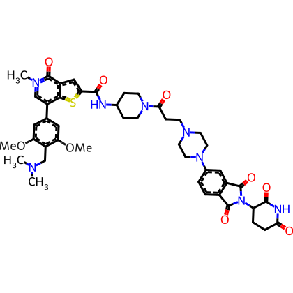 COc1cc(-c2cn(C)c(=O)c3cc(C(=O)NC4CCN(C(=O)CCN5CCN(c6ccc7c(c6)C(=O)N(C6CCC(=O)NC6=O)C7=O)CC5)CC4)sc23)cc(OC)c1CN(C)C